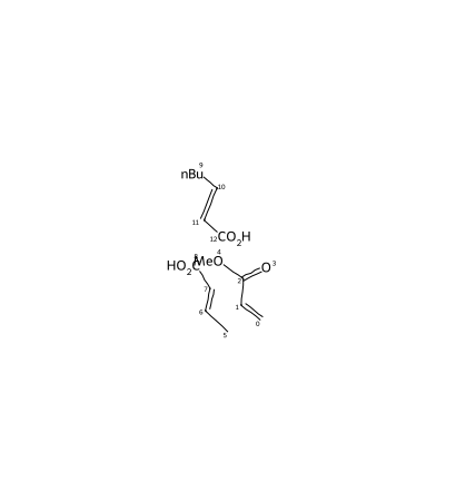 C=CC(=O)OC.CC=CC(=O)O.CCCCC=CC(=O)O